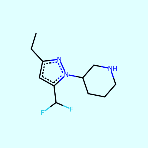 CCc1cc(C(F)F)n(C2CCCNC2)n1